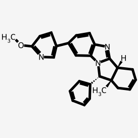 COc1ccc(-c2ccc3nc4n(c3c2)[C@@H](c2ccccc2)[C@@]2(C)CC=CC[C@@H]42)cn1